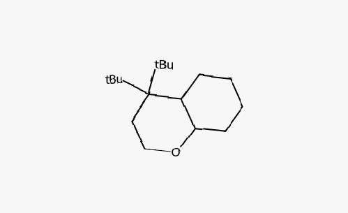 CC(C)(C)C1(C(C)(C)C)CCOC2CCCCC21